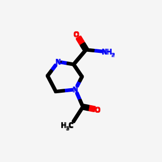 CC(=O)N1CC[N]C(C(N)=O)C1